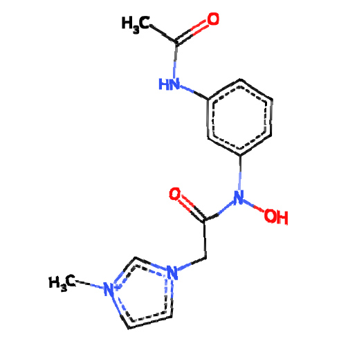 CC(=O)Nc1cccc(N(O)C(=O)Cn2cc[n+](C)c2)c1